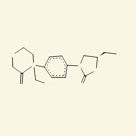 NC[C@@H]1CN(c2ccc([N+]3(CC(=O)O)CCOCC3=O)cc2)C(=O)O1